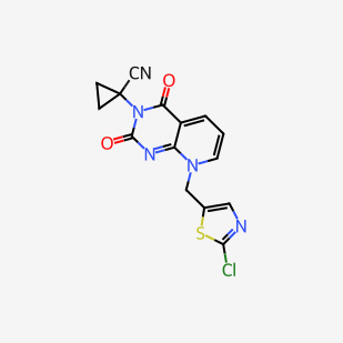 N#CC1(n2c(=O)nc3n(Cc4cnc(Cl)s4)cccc-3c2=O)CC1